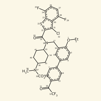 CCOc1ccc(-c2ccc(C(=O)C(F)(F)F)cc2)cc1CN(C(=O)c1sc2c(F)ccc(F)c2c1Cl)C1CCC(N(C)C(=O)O)CC1